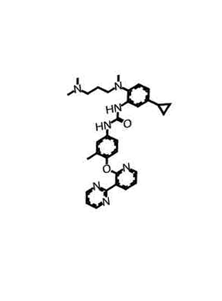 Cc1cc(NC(=O)Nc2cc(C3CC3)ccc2N(C)CCCN(C)C)ccc1Oc1ncccc1-c1ncccn1